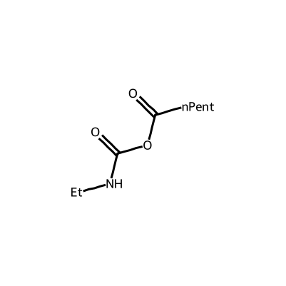 CCCCCC(=O)OC(=O)NCC